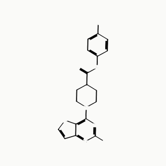 O=C(Nc1ccc(Cl)cc1)C1CCN(c2nc(Cl)nc3ccsc23)CC1